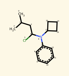 CC(C)CC(Cl)N(c1ccccc1)C1CCC1